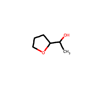 CC(O)C1CCCO1